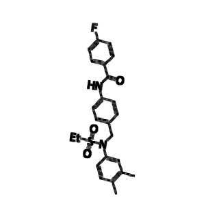 CCS(=O)(=O)N(Cc1ccc(NC(=O)c2ccc(F)cc2)cc1)c1ccc(C)c(C)c1